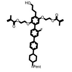 C=C(C)C(=O)OCCOc1cc(-c2ccc(-c3ccc(C4CCC(CCCCC)CC4)cc3)cc2F)c(OCCOC(=O)C(=C)C)cc1CCCO